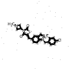 CN1CC(N2C(=O)SC(=Cc3ccc4c(cnn4Cc4ccc(Cl)cc4C(F)(F)F)c3)C2=O)C1